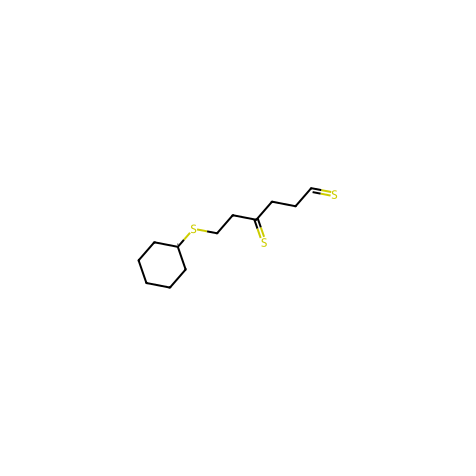 S=CCCC(=S)CCS[C]1CCCCC1